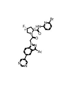 CC(=O)c1nn(CC(=O)N2C[C@H](F)C[C@H]2C(=O)Nc2cccc(Br)n2)c2ccc(-c3cn[c]nc3)cc12